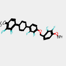 CCCOc1ccc(COc2ccc(C3CCC(c4ccc(C)c(F)c4F)CC3)c(F)c2F)c(F)c1F